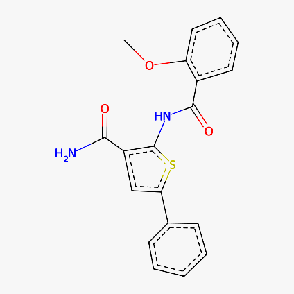 COc1ccccc1C(=O)Nc1sc(-c2ccccc2)cc1C(N)=O